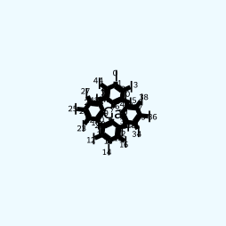 Ic1c(I)c(I)[c]([Ga-]([c]2c(I)c(I)c(I)c(I)c2I)([c]2c(I)c(I)c(I)c(I)c2I)[c]2c(I)c(I)c(I)c(I)c2I)c(I)c1I